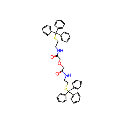 O=C(COCC(=O)NCCSC(c1ccccc1)(c1ccccc1)c1ccccc1)NCCSC(c1ccccc1)(c1ccccc1)c1ccccc1